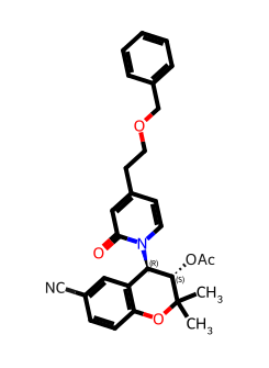 CC(=O)O[C@H]1[C@H](n2ccc(CCOCc3ccccc3)cc2=O)c2cc(C#N)ccc2OC1(C)C